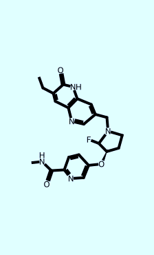 CCc1cc2ncc(CN3CC[C@@H](Oc4ccc(C(=O)NC)nc4)C3F)cc2[nH]c1=O